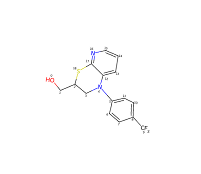 OCC1CN(c2ccc(C(F)(F)F)cc2)c2cccnc2S1